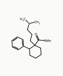 CNC(=O)C1(CCCN(C)C)CCCCC1c1ccccc1